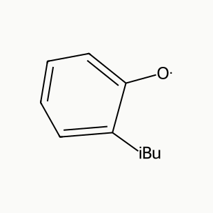 CCC(C)c1ccccc1[O]